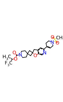 CC(OC(=O)N1CCC2(CC1)CC1(Cc3cc(C4=CCN(S(C)(=O)=O)CC4)ncc3O1)C2)C(F)(F)F